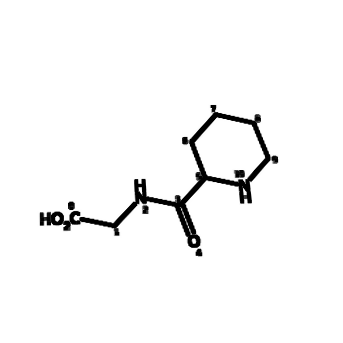 O=C(O)CNC(=O)C1CCCCN1